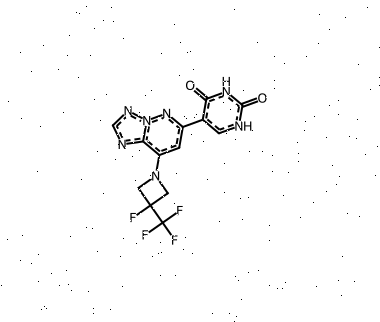 O=c1[nH]cc(-c2cc(N3CC(F)(C(F)(F)F)C3)c3ncnn3n2)c(=O)[nH]1